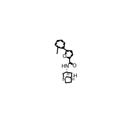 Cc1ccccc1-c1ccc(C(=O)N[C@@H]2C[C@H]3CCN(C3)C2)o1